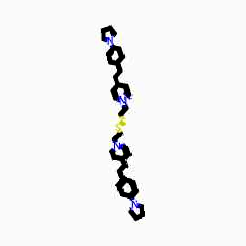 C1=CC(N2CCCC2)CC=C1CCc1cc[n+](CCSSCC[N+]2=CCC(CCC3C=CC(N4CCCC4)=CC3)C=C2)cc1